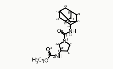 COC(=O)N[C@@H]1CCN(C(=O)NC2C3CC4CC(C3)CC2C4)C1